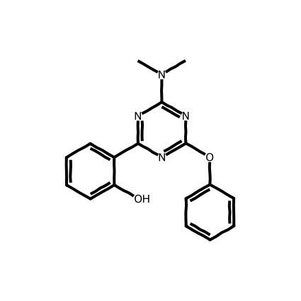 CN(C)c1nc(Oc2ccccc2)nc(-c2ccccc2O)n1